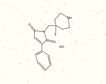 Cl.O=C1C=C(c2ccccc2)C(=O)N1CC1(F)CCNCC1